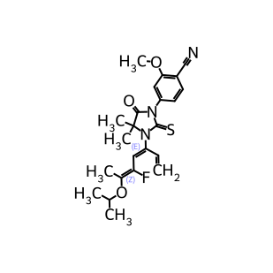 C=C/C(=C\C(F)=C(/C)OC(C)C)N1C(=S)N(c2ccc(C#N)c(OC)c2)C(=O)C1(C)C